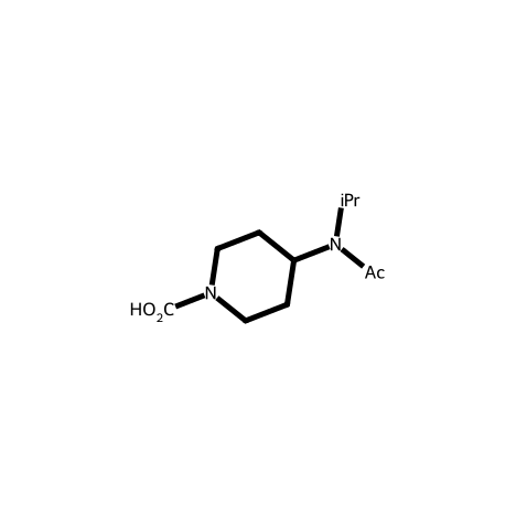 CC(=O)N(C(C)C)C1CCN(C(=O)O)CC1